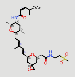 CC(=O)OC(C)/C=C\C(=O)N[C@@H]1C[C@H](C)[C@H](C/C=C(C)/C=C/[C@@H]2C[C@]3(CO3)C[C@@H](CC(=O)NCCS(C)(=O)=O)O2)O[C@@H]1C